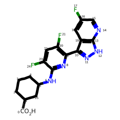 O=C(O)C1CCCC(Nc2nc(-c3n[nH]c4ncc(F)cc34)c(F)cc2F)C1